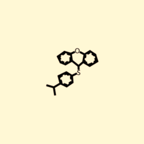 CC(C)c1ccc(SC2c3ccccc3Oc3ccccc32)cc1